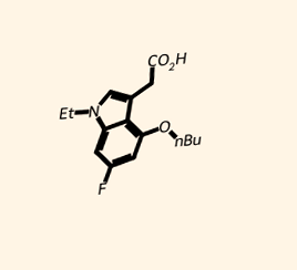 CCCCOc1cc(F)cc2c1c(CC(=O)O)cn2CC